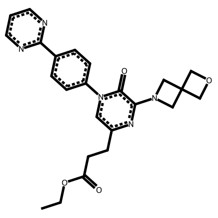 CCOC(=O)CCc1cn(-c2ccc(-c3ncccn3)cc2)c(=O)c(N2CC3(COC3)C2)n1